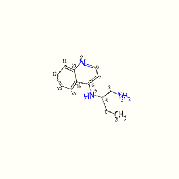 CCC(CN)Nc1ccnc2ccccc12